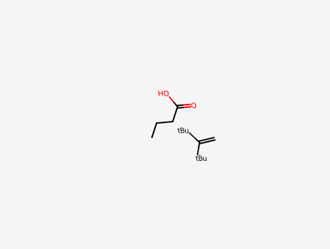 C=C(C(C)(C)C)C(C)(C)C.CCCC(=O)O